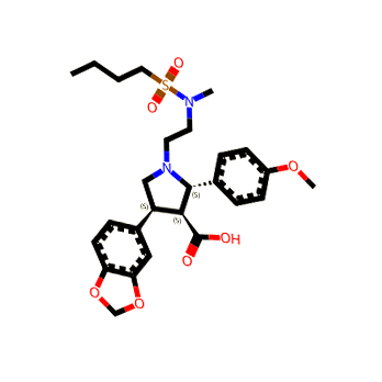 CCCCS(=O)(=O)N(C)CCN1C[C@H](c2ccc3c(c2)OCO3)[C@H](C(=O)O)[C@H]1c1ccc(OC)cc1